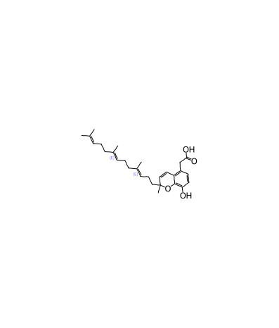 CC(C)=CCC/C(C)=C/CC/C(C)=C/CCC1(C)C=Cc2c(CC(=O)O)ccc(O)c2O1